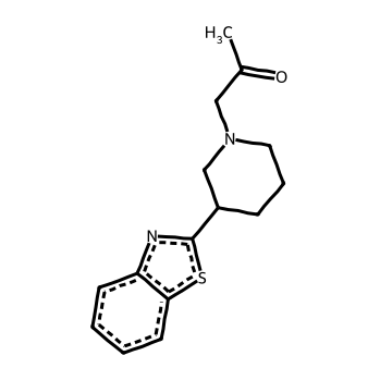 CC(=O)CN1CCCC(c2nc3ccccc3s2)C1